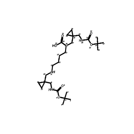 CC(C)(C)OC(=O)NCC1(CNCCCCN(CC2(CNC(=O)OC(C)(C)C)CC2)C(=O)O)CC1